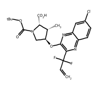 C=CC(F)(F)c1nc2ccc(Cl)cc2nc1O[C@H]1CN(C(=O)OC(C)(C)C)[C@H](C(=O)O)[C@@H]1C